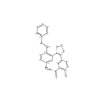 O=C(O)c1nc(C2=C(c3cc(Br)ccc3OCc3ccccc3)CCC2)ccc1Cl